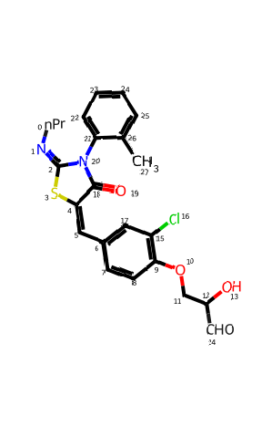 CCCN=C1SC(=Cc2ccc(OCC(O)C=O)c(Cl)c2)C(=O)N1c1ccccc1C